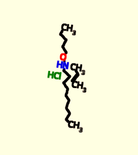 CC=CC.CCCCCCCCCCNOCCCCC.Cl